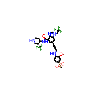 COc1cc(S(C)(=O)=O)ccc1NCC#Cc1cc(C(=O)N[C@@H]2CCNC[C@H]2C(F)(F)F)c2ncn(CC(F)(F)F)c2c1